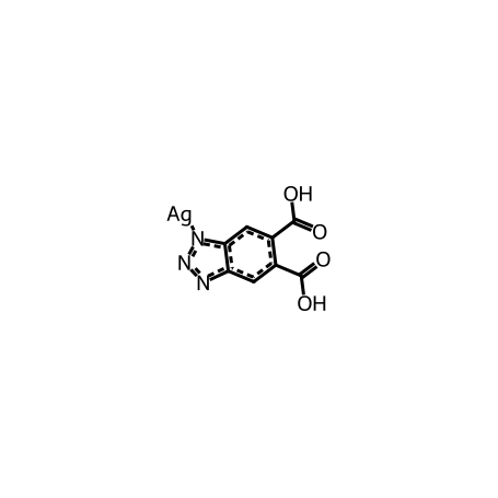 O=C(O)c1cc2nn[n]([Ag])c2cc1C(=O)O